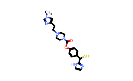 Cn1cnc(CCN2CCN(C(=O)Oc3ccc(C(S)c4ncc[nH]4)cc3)CC2)c1